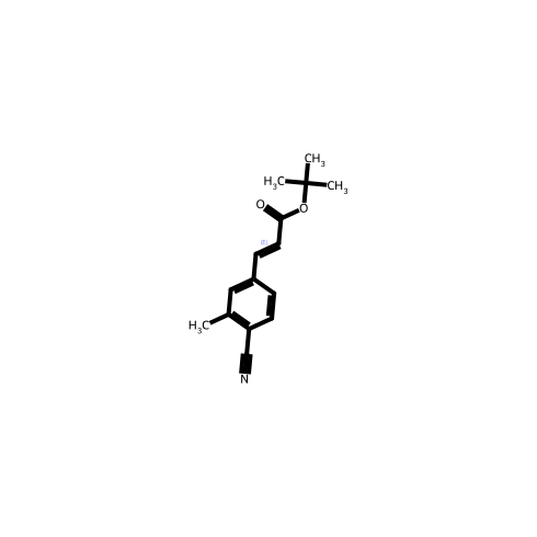 Cc1cc(/C=C/C(=O)OC(C)(C)C)ccc1C#N